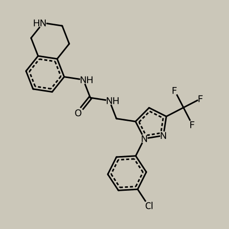 O=C(NCc1cc(C(F)(F)F)nn1-c1cccc(Cl)c1)Nc1cccc2c1CCNC2